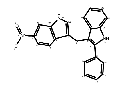 O=[N+]([O-])c1ccc2c(Cc3c(-c4ccccc4)[nH]c4ccccc34)c[nH]c2c1